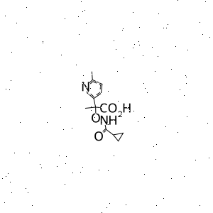 Cc1ccc(C(C)(ONC(=O)C2CC2)C(=O)O)cn1